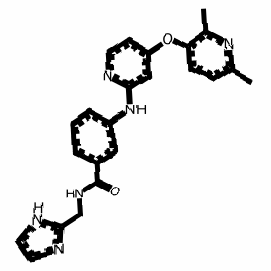 Cc1ccc(Oc2ccnc(Nc3cccc(C(=O)NCc4ncc[nH]4)c3)c2)c(C)n1